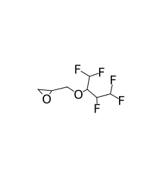 FC(F)C(F)C(OCC1CO1)C(F)F